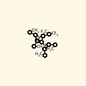 Cc1ccccc1-c1ccc2c(c1)c1cc(-c3ccccc3C)ccc1n2-c1ccc(C#N)c(-c2cc(-c3ccc(C(F)(F)F)cc3C(F)(F)F)ccc2-n2c3ccc(-c4ccccc4C)cc3c3cc(-c4ccccc4C)ccc32)c1